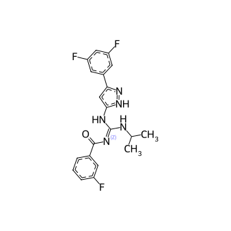 CC(C)N/C(=N/C(=O)c1cccc(F)c1)Nc1cc(-c2cc(F)cc(F)c2)n[nH]1